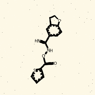 N=C(NOC(=O)c1cccs1)c1ccc2c(c1)CCO2